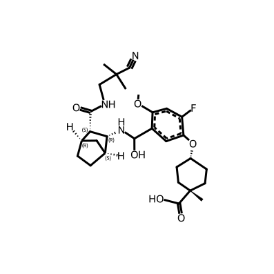 COc1cc(F)c(O[C@H]2CC[C@@](C)(C(=O)O)CC2)cc1C(O)N[C@@H]1[C@H]2CC[C@H](C2)[C@@H]1C(=O)NCC(C)(C)C#N